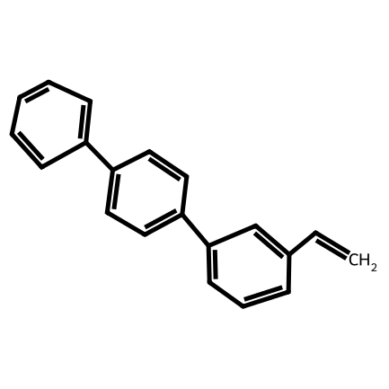 C=Cc1cccc(-c2ccc(-c3ccccc3)cc2)c1